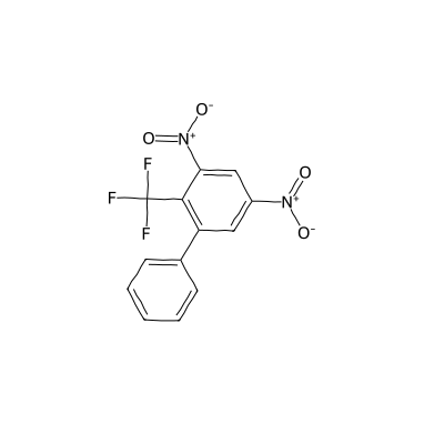 O=[N+]([O-])c1cc(-c2ccccc2)c(C(F)(F)F)c([N+](=O)[O-])c1